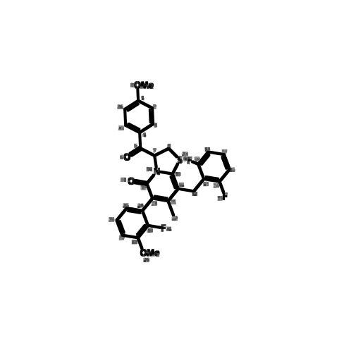 COc1ccc(C(=O)C2CSc3c(Cc4c(F)cccc4F)c(C)c(-c4cccc(OC)c4F)c(=O)n32)cc1